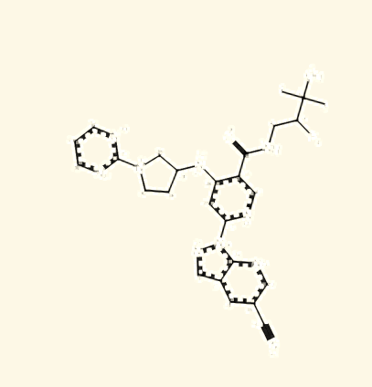 CC(C)(O)C(F)CNC(=O)c1cnc(-n2ncc3cc(C#N)cnc32)cc1NC1CCN(c2ncccn2)C1